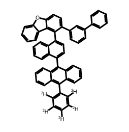 [2H]c1c([2H])c([2H])c(-c2c3ccccc3c(-c3ccc(-c4c(-c5cccc(-c6ccccc6)c5)ccc5oc6ccccc6c45)c4ccccc34)c3ccccc23)c([2H])c1[2H]